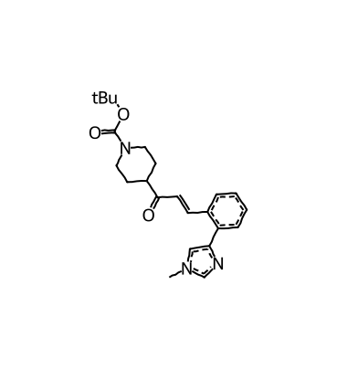 Cn1cnc(-c2ccccc2/C=C/C(=O)C2CCN(C(=O)OC(C)(C)C)CC2)c1